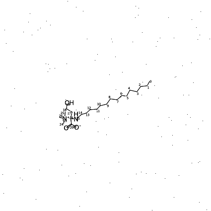 CCCCCCCCCCCCCCCNC(CCO)(C(=O)[O-])[N+](C)(C)C